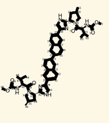 COC(=O)N[C@H](C(=O)N1CC(C)C[C@H]1c1nc(-c2ccc3cc(-c4ccc5cc(-c6c[nH]c([C@@H]7C[C@@H](C)CN7C(=O)[C@@H](NC(=O)OC)C(C)C)n6)ccc5c4)ccc3c2)c[nH]1)C(C)C